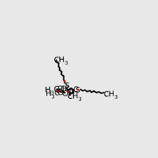 CCCCCCCCCCCCSCc1cc(C)c(OC(=O)OC(C)(C)C)c(CSCCCCCCCCCCCC)c1